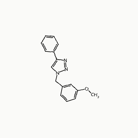 COc1cccc(Cn2cc(-c3ccccc3)nn2)c1